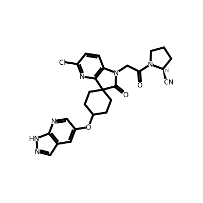 N#C[C@@H]1CCCN1C(=O)CN1C(=O)C2(CCC(Oc3cnc4[nH]ncc4c3)CC2)c2nc(Cl)ccc21